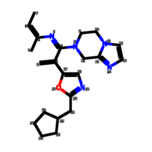 C=C(/C(=N\C(C)=C/C)N1CCn2ccnc2C1)c1cnc(CC2CCCC2)o1